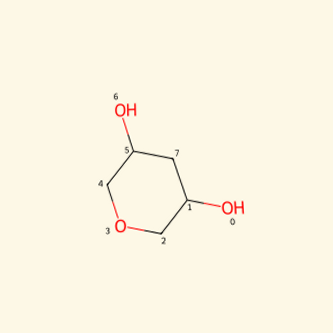 OC1COCC(O)C1